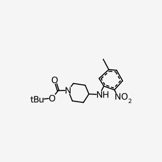 Cc1ccc([N+](=O)[O-])c(NC2CCN(C(=O)OC(C)(C)C)CC2)c1